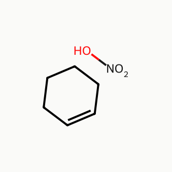 C1=CCCCC1.O=[N+]([O-])O